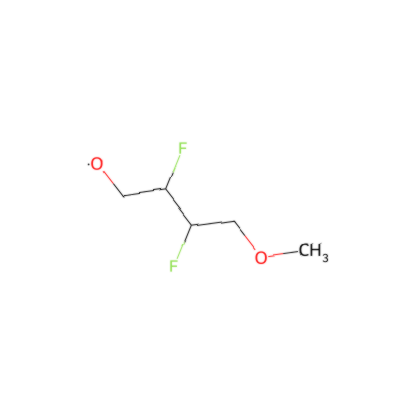 COCC(F)C(F)C[O]